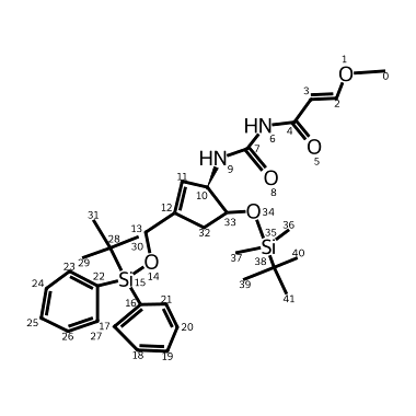 CO/C=C/C(=O)NC(=O)N[C@@H]1C=C(CO[Si](c2ccccc2)(c2ccccc2)C(C)(C)C)CC1O[Si](C)(C)C(C)(C)C